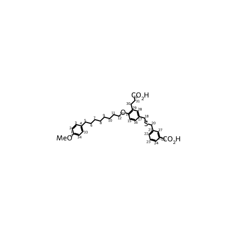 COc1ccc(CCCCCCCCOc2ccc(CSCc3cccc(C(=O)O)c3)cc2CCC(=O)O)cc1